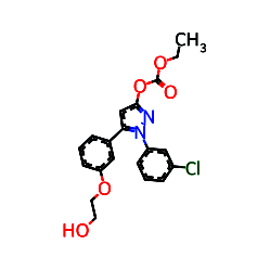 CCOC(=O)Oc1cc(-c2cccc(OCCO)c2)n(-c2cccc(Cl)c2)n1